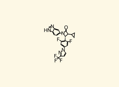 O=C1C(C2CC2)[C@@H](c2c(F)cc(-n3ccc(C(F)(F)F)n3)cc2F)N1c1ccc2[nH]cnc2c1